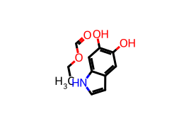 CCOC=O.Oc1cc2cc[nH]c2cc1O